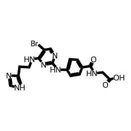 O=C(O)CNC(=O)c1ccc(Nc2ncc(Br)c(NCCc3c[nH]cn3)n2)cc1